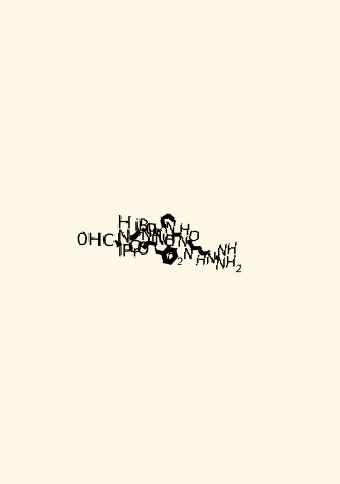 CC[C@H](C)[C@H](NC(=O)[C@H](Cc1ccccc1)NC(=O)[C@@H]1CCCN1C(=O)CNC(=O)[C@@H](N)CCCNC(=N)N)C(=O)N[C@H]([C]=O)C(C)C